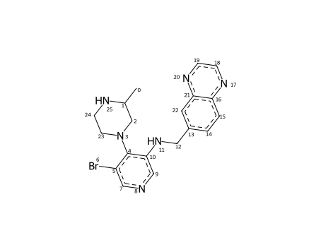 CC1CN(c2c(Br)cncc2NCc2ccc3nccnc3c2)CCN1